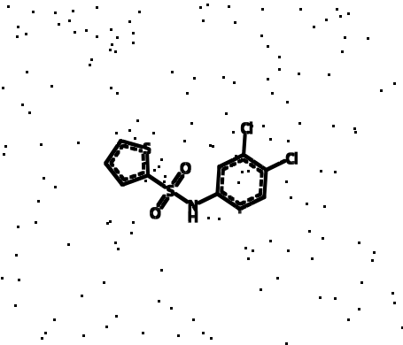 O=S(=O)(Nc1[c]cc(Cl)c(Cl)c1)c1cccs1